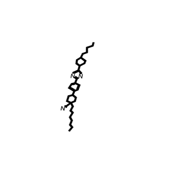 CCCCCCCCC1(C#N)CCC(c2ccc(-c3ncc(C4CCC(CCCCC)CC4)cn3)cc2)CC1